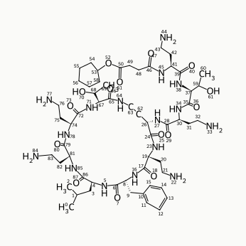 CC(C)C[C@@H]1NC(=O)[C@@H](Cc2ccccc2)NC(=O)[C@H](CCN)NC(=O)[C@@H](NC(=O)[C@H](CCN)NC(=O)[C@@H](NC(=O)[C@H](CCN)NC(=O)CCC(=O)OC2CCCCC2)C(C)O)CCNC(=O)[C@H](C(C)O)NC(=O)[C@H](CCN)NC(=O)[C@H](CCN)NC1=O